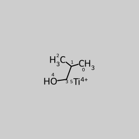 CC(C)CO.[Ti+4]